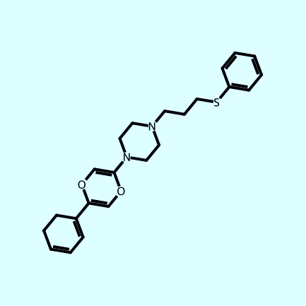 C1=CCCC(C2=COC(N3CCN(CCCSc4ccccc4)CC3)=CO2)=C1